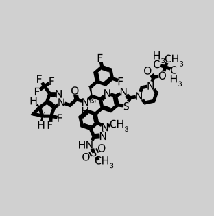 Cn1nc(NS(C)(=O)=O)c2cccc(-c3cc4sc(N5CCCN(C(=O)OC(C)(C)C)C5)nc4nc3[C@H](Cc3cc(F)cc(F)c3)NC(=O)Cn3nc(C(F)(F)F)c4c3C(F)(F)[C@@H]3C[C@H]43)c21